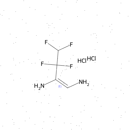 Cl.Cl.N/C=C(/N)C(F)(F)C(F)F